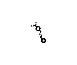 O=C(Cl)C1CCC(COCCc2ccccc2)CC1